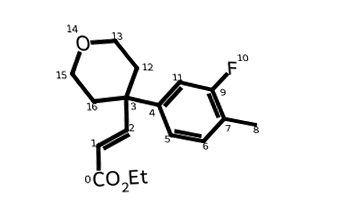 CCOC(=O)C=CC1(c2ccc(C)c(F)c2)CCOCC1